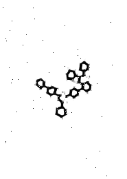 c1ccc(-c2ccc(-c3cc(-c4ccccc4)nc(-c4ccc(-c5cccc6nc(-c7ccccc7)c7c8ccccc8sc7c56)cc4)n3)cc2)cc1